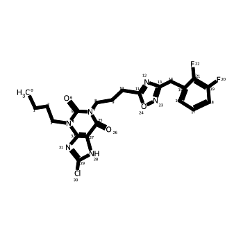 CCCCn1c(=O)n(CCCc2nc(Cc3cccc(F)c3F)no2)c(=O)c2[nH]c(Cl)nc21